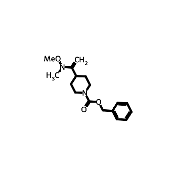 C=C(C1CCN(C(=O)OCc2ccccc2)CC1)N(C)OC